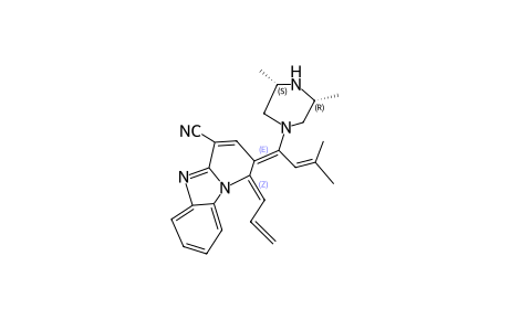 C=C/C=c1/c(=C(\C=C(C)C)N2C[C@@H](C)N[C@@H](C)C2)cc(C#N)c2nc3ccccc3n12